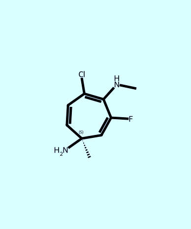 CNC1=C(Cl)C=C[C@](C)(N)C=C1F